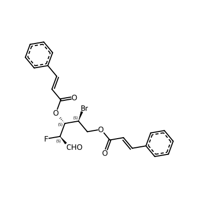 O=C[C@@H](F)[C@H](OC(=O)C=Cc1ccccc1)[C@@H](Br)COC(=O)C=Cc1ccccc1